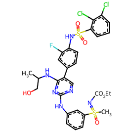 CCOC(=O)N=S(C)(=O)c1cccc(Nc2ncc(-c3ccc(NS(=O)(=O)c4cccc(Cl)c4Cl)c(F)c3)c(NC(C)CO)n2)c1